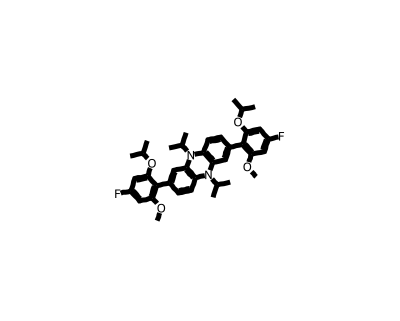 COc1cc(F)cc(OC(C)C)c1-c1ccc2c(c1)N(C(C)C)c1ccc(-c3c(OC)cc(F)cc3OC(C)C)cc1N2C(C)C